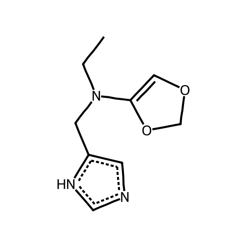 CCN(Cc1cnc[nH]1)C1=COCO1